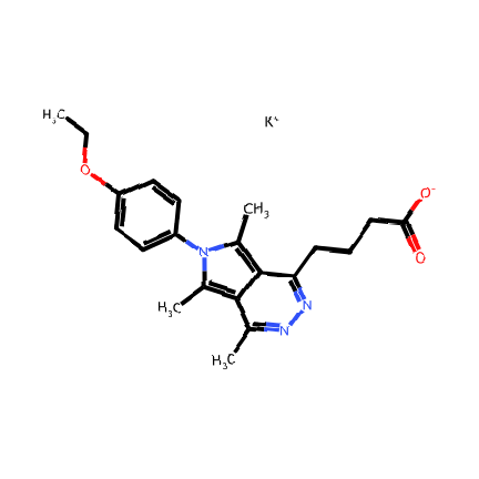 CCOc1ccc(-n2c(C)c3c(C)nnc(CCCC(=O)[O-])c3c2C)cc1.[K+]